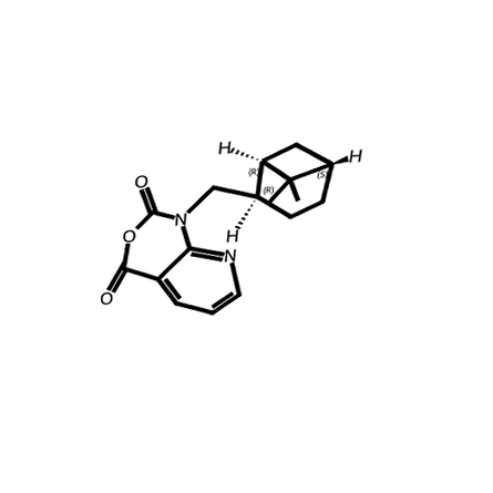 CC1(C)[C@H]2CC[C@@H](Cn3c(=O)oc(=O)c4cccnc43)[C@H]1C2